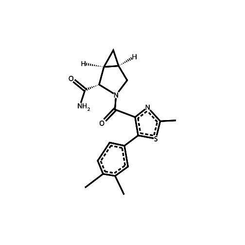 Cc1nc(C(=O)N2C[C@@H]3C[C@@H]3[C@H]2C(N)=O)c(-c2ccc(C)c(C)c2)s1